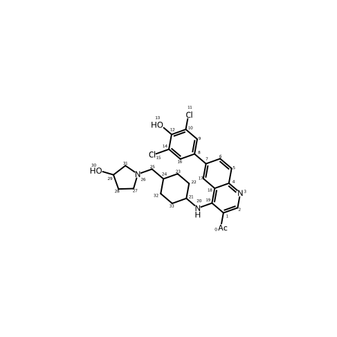 CC(=O)c1cnc2ccc(-c3cc(Cl)c(O)c(Cl)c3)cc2c1NC1CCC(CN2CCC(O)C2)CC1